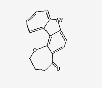 O=C1CCCOc2c1ccc1[nH]c3ccccc3c21